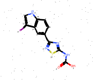 O=C(O)Nc1nc(-c2ccc3[nH]cc(I)c3c2)ns1